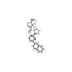 CC1(C)C(N)CCN1C(=O)[C@@H]1CCCN1c1nccc(-c2ccc3ccccc3c2)n1